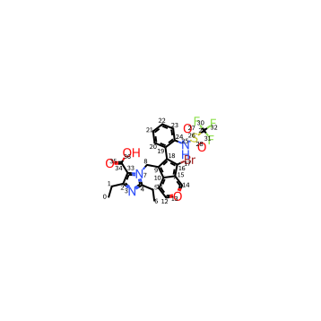 CCc1nc(CC)n(Cc2c3ccocc-3c(Br)c2-c2ccccc2NS(=O)(=O)C(F)(F)F)c1C(=O)O